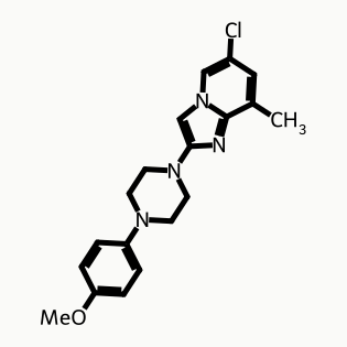 COc1ccc(N2CCN(c3cn4cc(Cl)cc(C)c4n3)CC2)cc1